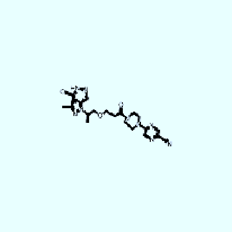 Cc1nn(C(C)COCCC(=O)N2CCN(c3cnc(C#N)cn3)CC2)c2cn[nH]c(=O)c12